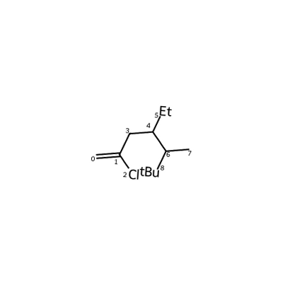 C=C(Cl)CC(CC)C(C)C(C)(C)C